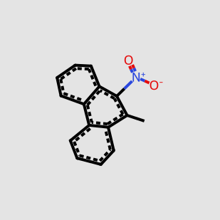 Cc1c([N+](=O)[O-])c2ccccc2c2ccccc12